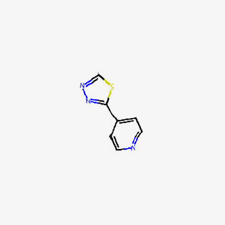 [c]1nnc(-c2ccncc2)s1